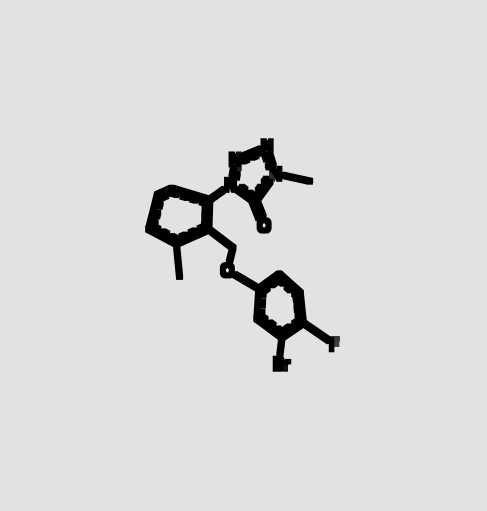 Cc1cccc(-n2nnn(C)c2=O)c1COc1ccc(F)c(Br)c1